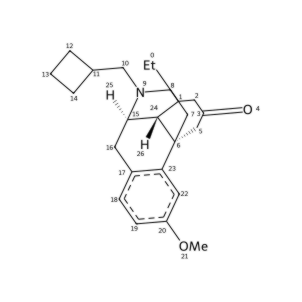 CCC1CC(=O)C[C@]23CCN(CC4CCC4)[C@H](Cc4ccc(OC)cc42)[C@H]13